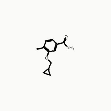 Cc1ccc(C(N)=O)cc1OCC1CC1